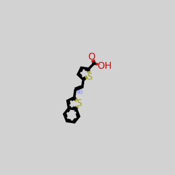 O=C(O)c1ccc(/C=C/c2cc3ccccc3s2)s1